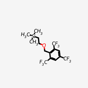 C[Si](C)(C)CCOCc1c(C(F)(F)F)cc(C(F)(F)F)cc1C(F)(F)F